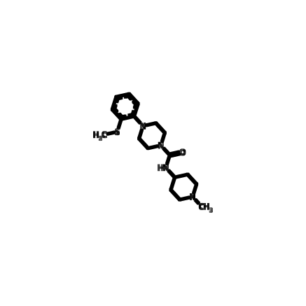 CSc1ccccc1N1CCN(C(=O)NC2CCN(C)CC2)CC1